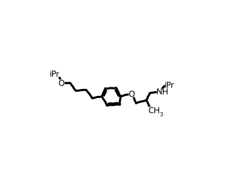 CC(CNC(C)C)COc1ccc(CCCCOC(C)C)cc1